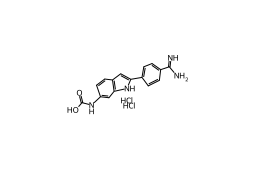 Cl.Cl.N=C(N)c1ccc(-c2cc3ccc(NC(=O)O)cc3[nH]2)cc1